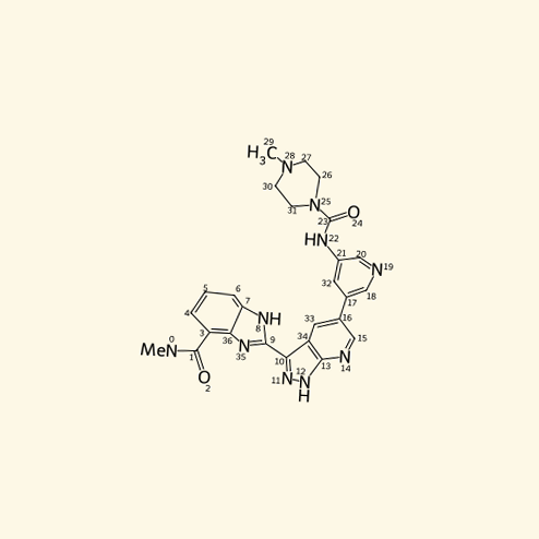 CNC(=O)c1cccc2[nH]c(-c3n[nH]c4ncc(-c5cncc(NC(=O)N6CCN(C)CC6)c5)cc34)nc12